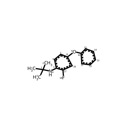 CC(C)(C)Nc1ccc(Oc2ccccc2)cc1F